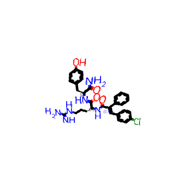 N=C(N)NCCC[C@@H](NC(=O)/C(=C/c1ccc(Cl)cc1)c1ccccc1)C(=O)N[C@@H](Cc1ccc(O)cc1)C(N)=O